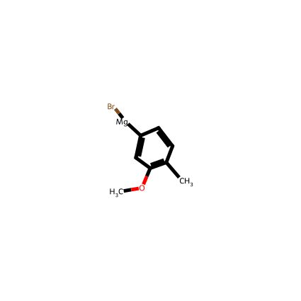 COc1c[c]([Mg][Br])ccc1C